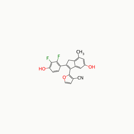 Cc1cc(O)cc2c1CC(c1ccc(O)c(F)c1F)=C2c1occc1C#N